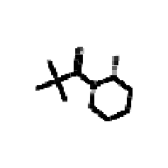 C[C@@H]1CCCCN1C(=O)C(C)(C)C